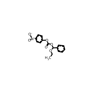 CCOC(OC(=O)Oc1ccc([N+](=O)[O-])cc1)c1ccccc1